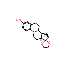 C[C@]12CCC3c4ccc(O)cc4CCC3C1C=CC21OCCO1